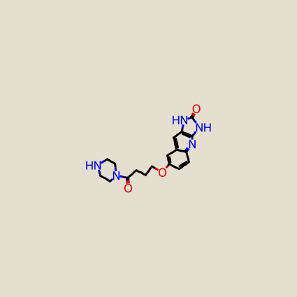 O=C(CCCOc1ccc2nc3[nH]c(=O)[nH]c3cc2c1)N1CCNCC1